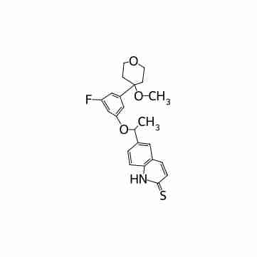 COC1(c2cc(F)cc(OC(C)c3ccc4[nH]c(=S)ccc4c3)c2)CCOCC1